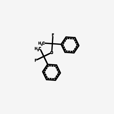 CC(F)(OC(C)(F)c1ccccc1)c1ccccc1